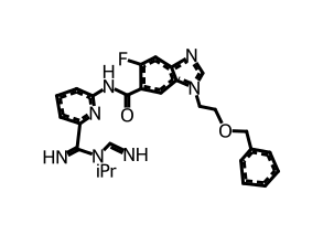 CC(C)N(C=N)C(=N)c1cccc(NC(=O)c2cc3c(cc2F)ncn3CCOCc2ccccc2)n1